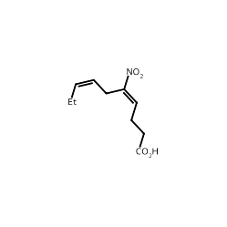 CC/C=C\C/C(=C\CCC(=O)O)[N+](=O)[O-]